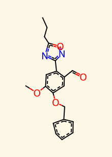 CCCc1nc(-c2cc(OC)c(OCc3ccccc3)cc2C=O)no1